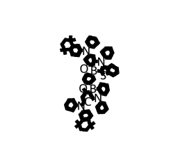 CC1(C)CCC(C)(C)c2cc(N(c3ccccc3)c3cc4c5c(c3)N(c3ccccc3)c3ccccc3B5c3cc5c(cc3O4)Oc3cc(N(c4ccccc4)c4ccc6c(c4)C(C)(C)CCC6(C)C)cc4c3B5c3sc5ccccc5c3N4c3ccccc3)ccc21